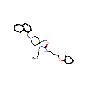 COCCN(C(=O)NCCCOc1ccccc1)C1(C=O)CCN(Cc2cccc3ccccc23)CC1